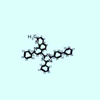 Cc1ccc2ccc3c(-c4nc(-c5ccccc5)nc(-c5ccc(-c6ccccc6)cc5)n4)cc(-c4ccccc4)nc3c2n1